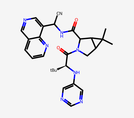 CC1(C)C2CN(C(=O)[C@@H](Nc3cncnc3)C(C)(C)C)C(C(=O)NC(C#N)c3cncc4cccnc34)C21